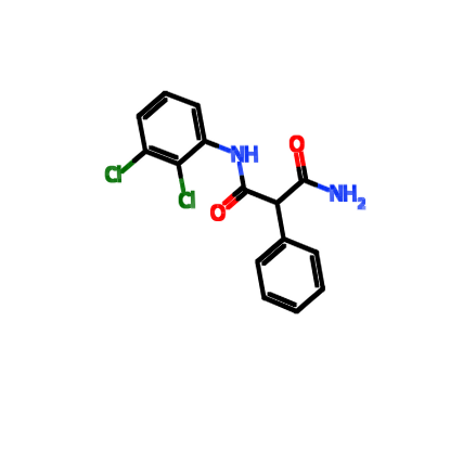 NC(=O)C(C(=O)Nc1cccc(Cl)c1Cl)c1ccccc1